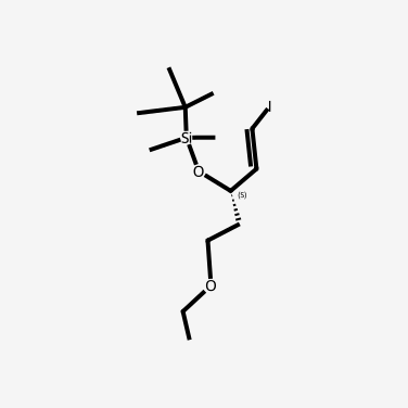 CCOCC[C@@H](C=CI)O[Si](C)(C)C(C)(C)C